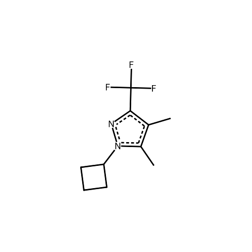 Cc1c(C(F)(F)F)nn(C2CCC2)c1C